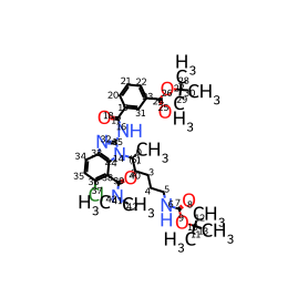 C[C@@H](CCCCNC(=O)OC(C)(C)C)n1c(NC(=O)c2cccc(C(=O)OC(C)(C)C)c2)nc2ccc(Cl)c(C(=O)N(C)C)c21